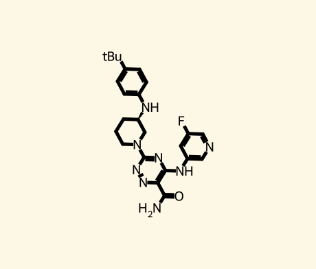 CC(C)(C)c1ccc(N[C@@H]2CCCN(c3nnc(C(N)=O)c(Nc4cncc(F)c4)n3)C2)cc1